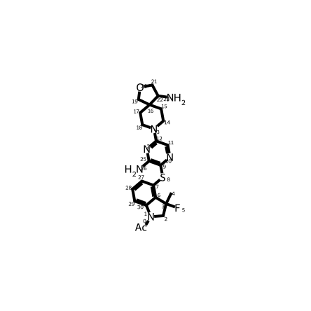 CC(=O)N1CC(C)(F)c2c(Sc3ncc(N4CCC5(CC4)COCC5N)nc3N)cccc21